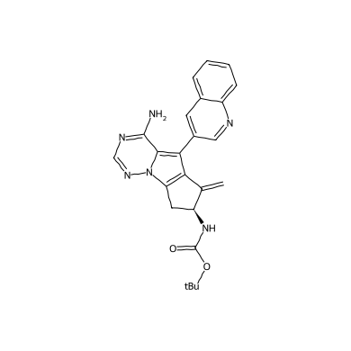 C=C1c2c(-c3cnc4ccccc4c3)c3c(N)ncnn3c2C[C@@H]1NC(=O)OC(C)(C)C